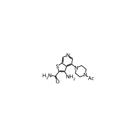 CC(=O)N1CCN(c2cncc3sc(C(N)=O)c(N)c23)CC1